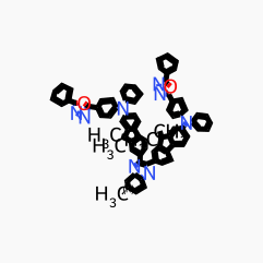 C[C@H]1C=Cc2nc(-c3ccc4c(c3)C(C)(C)c3cc(N(c5ccccc5)c5ccc(-c6nnc(-c7ccccc7)o6)cc5)ccc3-4)c(-c3ccc4c(c3)C(C)(C)c3cc(N(c5ccccc5)c5ccc(-c6nnc(-c7ccccc7)o6)cc5)ccc3-4)nc2C1